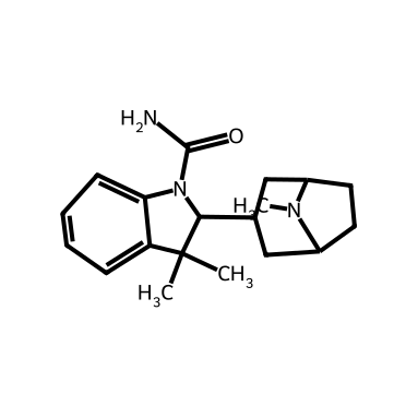 CN1C2CCC1CC(C1N(C(N)=O)c3ccccc3C1(C)C)C2